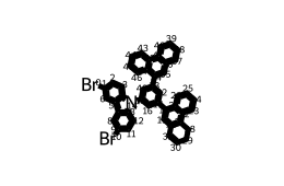 Brc1ccc2c(c1)c1cc(Br)ccc1n2-c1cc(-c2cc3c(c4ccccc24)CCC=C3)cc(-c2cc3ccccc3c3ccccc23)c1